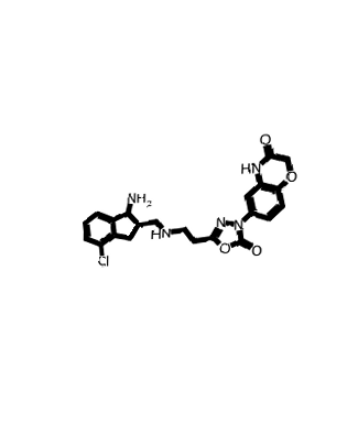 NC1c2cccc(Cl)c2CC1CNCCc1nn(-c2ccc3c(c2)NC(=O)CO3)c(=O)o1